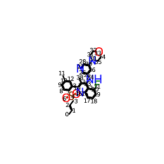 CC=CCS(=O)(=O)c1ccc(C)cc1-c1nc2cccc(F)c2c(Nc2cncc(N3CCOCC3)c2)c1C